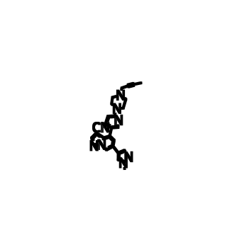 CC#CCN1CCN(c2ccc(-c3cc(-c4cnn(C)c4)cn4ncc(C#N)c34)cn2)CC1